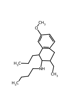 CCCCNC1C(CC)Cc2ccc(OC)cc2C1CCC